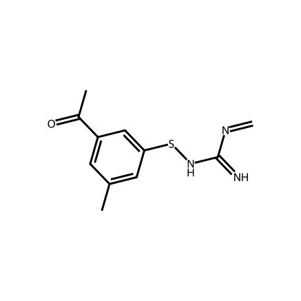 C=NC(=N)NSc1cc(C)cc(C(C)=O)c1